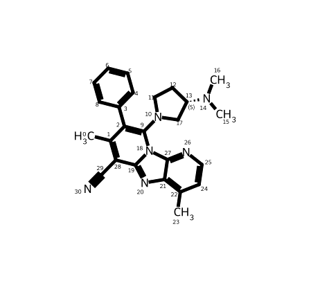 Cc1c(-c2ccccc2)c(N2CC[C@H](N(C)C)C2)n2c(nc3c(C)ccnc32)c1C#N